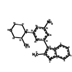 Cc1nc2ccccc2n1-c1nc(N)cc(N2CCOCC2C)n1